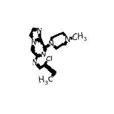 C/C=C(Cl)\C=N/c1cn2ccnc2c(N2CCN(C)CC2)n1